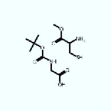 CC(C)(C)OC(=O)NCC(=O)O.COC(=O)C(N)CS